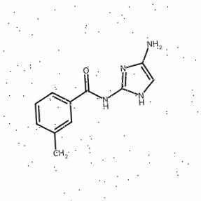 [CH2]c1cccc(C(=O)Nc2nc(N)c[nH]2)c1